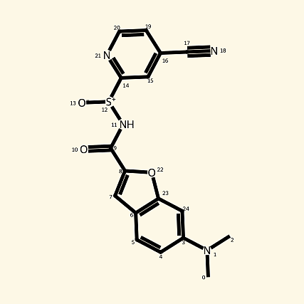 CN(C)c1ccc2cc(C(=O)N[S+]([O-])c3cc(C#N)ccn3)oc2c1